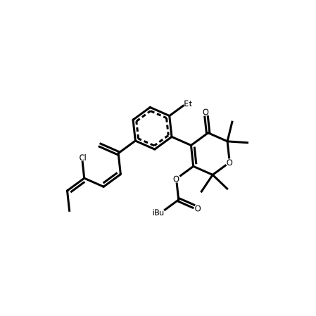 C=C(/C=C\C(Cl)=C/C)c1ccc(CC)c(C2=C(OC(=O)C(C)CC)C(C)(C)OC(C)(C)C2=O)c1